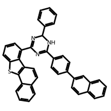 c1ccc(C2N=C(c3cccc4sc5c6ccccc6ccc5c34)N=C(c3ccc(-c4ccc5ccccc5c4)cc3)N2)cc1